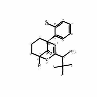 CC(C)(C)C(N)C1=N[C@@]2(c3ccccc3Cl)CCC[C@@H](O1)C2=O